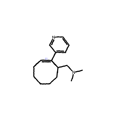 CN(C)CC1CCCCC/C=C\1c1cccnc1